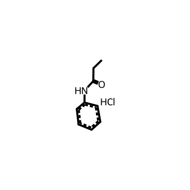 CCC(=O)Nc1ccccc1.Cl